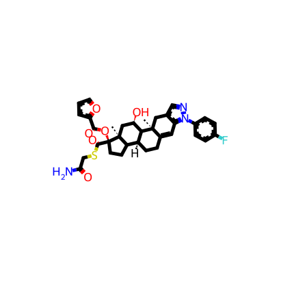 C[C@]12Cc3cnn(-c4ccc(F)cc4)c3C=C1CC[C@@H]1C2[C@@H](O)C[C@@]2(C)C1CC[C@]2(OC(=O)c1ccco1)C(=O)SCC(N)=O